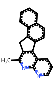 Cc1nc2ncccc2c2c1Cc1c-2ccc2ccccc12